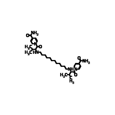 CC(C)[C@H](NCCCCCCCCCCCCN[C@H](C(=O)N1C=CC(C(N)=O)=CC1)C(C)C)C(=O)N1C=CC(C(N)=O)=CC1